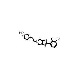 Cc1c(Br)cccc1-c1nc2c(o1)CN(CCN1CC[C@H](O)C1)C2